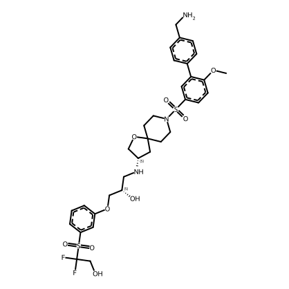 COc1ccc(S(=O)(=O)N2CCC3(CC2)C[C@H](NC[C@H](O)COc2cccc(S(=O)(=O)C(F)(F)CO)c2)CO3)cc1-c1ccc(CN)cc1